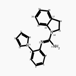 NC(=Nc1ccccc1-n1cccc1)N1CCc2ccccc21